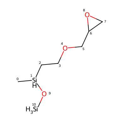 C[SiH](CCOCC1CO1)O[SiH3]